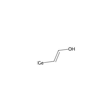 OC=[CH][Ge]